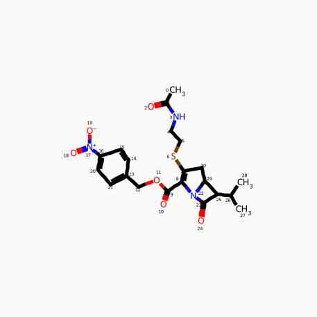 CC(=O)NCCSC1=C(C(=O)OCc2ccc([N+](=O)[O-])cc2)N2C(=O)C(C(C)C)C2C1